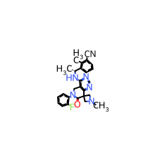 Cc1c(C#N)cccc1[C@@H](C)Nc1ncnc2c1CN(c1ccccc1F)C(=O)C21CN(C)C1